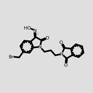 O=C1c2ccccc2C(=O)N1CCCN1C(=O)/C(=N/O)c2ccc(CBr)cc21